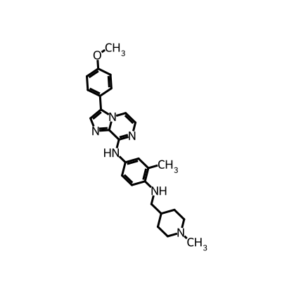 COc1ccc(-c2cnc3c(Nc4ccc(NCC5CCN(C)CC5)c(C)c4)nccn23)cc1